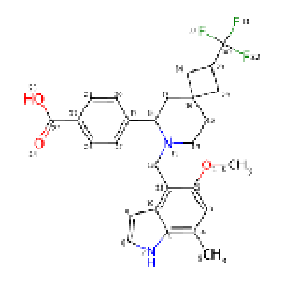 COc1cc(C)c2[nH]ccc2c1CN1CCC2(CC1c1ccc(C(=O)O)cc1)CC(C(F)(F)F)C2